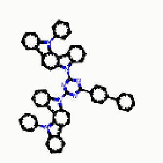 c1ccc(-c2ccc(-c3nc(-n4c5ccccc5c5c4ccc4c6ccccc6n(-c6ccccc6)c45)nc(-n4c5ccccc5c5c4ccc4c6ccccc6n(-c6ccccc6)c45)n3)cc2)cc1